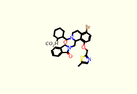 Cc1cnc(COc2ccc(Br)c3c2C(CN2Cc4ccccc4C2=O)N(C(=O)C2CCCCC2C(=O)O)CC3)s1